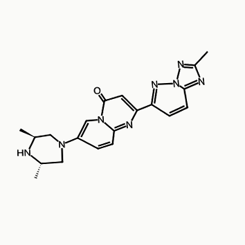 Cc1nc2ccc(-c3cc(=O)n4cc(N5C[C@H](C)N[C@@H](C)C5)ccc4n3)nn2n1